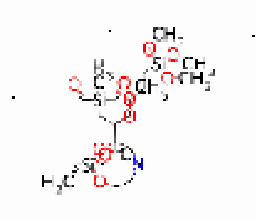 C=C[Si]12OCCN(CC(COCCC[Si](OC)(OC)OC)O1)CC(C(COC)C[Si](C)(C=O)C=O)O2